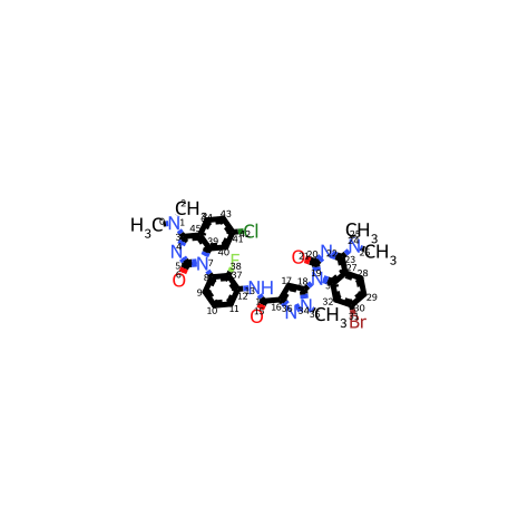 CN(C)c1nc(=O)n(-c2cccc(NC(=O)c3cc(-n4c(=O)nc(N(C)C)c5ccc(Br)cc54)n(C)n3)c2F)c2cc(Cl)ccc12